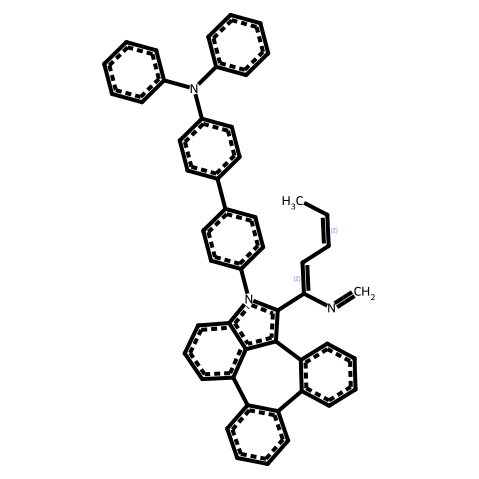 C=N/C(=C\C=C/C)c1c2c3c(cccc3n1-c1ccc(-c3ccc(N(c4ccccc4)c4ccccc4)cc3)cc1)-c1ccccc1-c1ccccc1-2